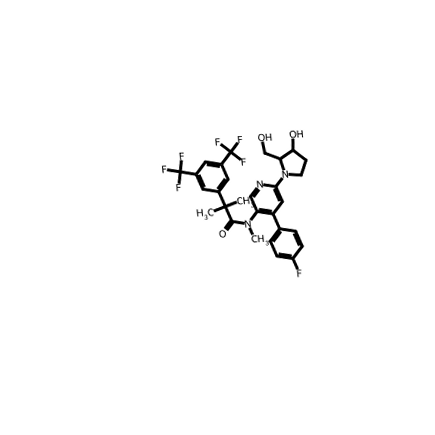 CN(C(=O)C(C)(C)c1cc(C(F)(F)F)cc(C(F)(F)F)c1)c1cnc(N2CCC(O)C2CO)cc1-c1ccc(F)cc1